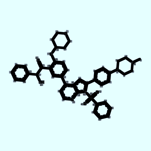 CN1CCN(c2ccc(-c3cc4c(-c5ccc(OC6CCOCC6)c(C(=O)C(O)c6ccccc6)c5)ccnc4n3S(=O)(=O)c3ccccc3)cc2)CC1